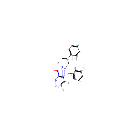 CCc1c(S(=O)(=O)O)ncc(C(=O)N2CCC(c3ccc(F)cc3)CC2)c1Nc1cccc(F)c1C